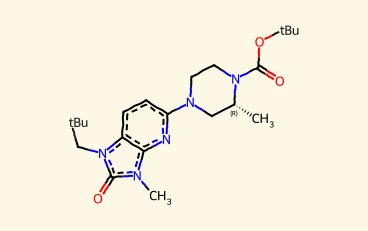 C[C@@H]1CN(c2ccc3c(n2)n(C)c(=O)n3CC(C)(C)C)CCN1C(=O)OC(C)(C)C